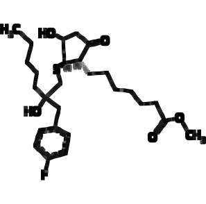 CCCCCC(O)(CS[C@H]1C(O)CC(=O)[C@@H]1CCCCCCC(=O)OC)Cc1ccc(F)cc1